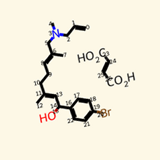 C=CCN(C)C/C(C)=C/CC/C(C)=C/C(O)c1ccc(Br)cc1.O=C(O)/C=C/C(=O)O